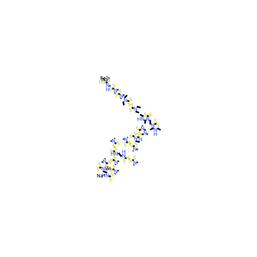 CC1NC(C)N(CCN2C(=S)SC(C)NC2C)C(=S)S1.CCN(CC)C(=S)SSC(=S)N(CC)CC.CN(C)C(=S)SSC(=S)N(C)C.CN(C)C(=S)SSC(=S)NCCNC(=S)SSC(=S)N(C)C.CN(C)C(=S)[S-].CN(C)C(=S)[S-].CN(C)C(=S)[S-].CN(C)C(=S)[S][Zn][S]C(=S)N(C)C.CN1CSC(=S)N(C)C1.CNC(=S)S.S=C([S-])NCCNC(=S)[S-].S=C1SSC2=NCCN12.[Fe+3].[Na+].[Na+]